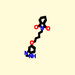 O=C1c2ccccc2C(=O)N1CCCCCOc1ccc2[nH]cnc2c1